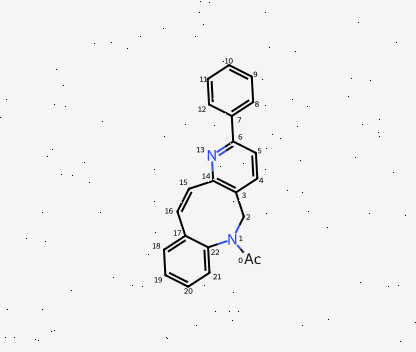 CC(=O)N1Cc2ccc(-c3ccccc3)nc2C=Cc2ccccc21